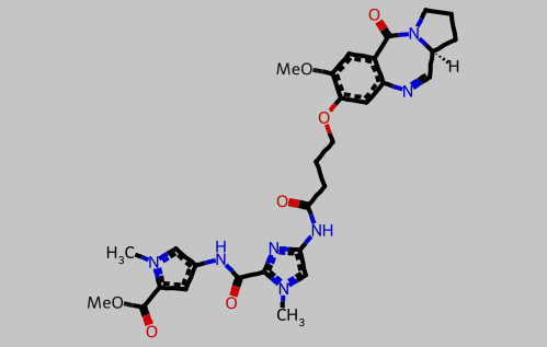 COC(=O)c1cc(NC(=O)c2nc(NC(=O)CCCOc3cc4c(cc3OC)C(=O)N3CCC[C@H]3C=N4)cn2C)cn1C